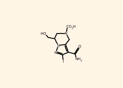 NC(=O)c1c(I)nn2c1CN(C(=O)O)CC2CO